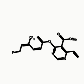 C=Cc1ncnc(OC(=C)/C=C\C(=C/CF)C(F)(F)F)c1C(=O)OC